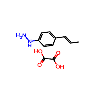 CC=Cc1ccc(NN)cc1.O=C(O)C(=O)O